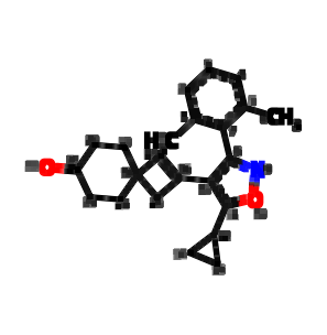 Cc1cccc(C)c1-c1noc(C2CC2)c1C1=CC2(CCC(=O)CC2)C1